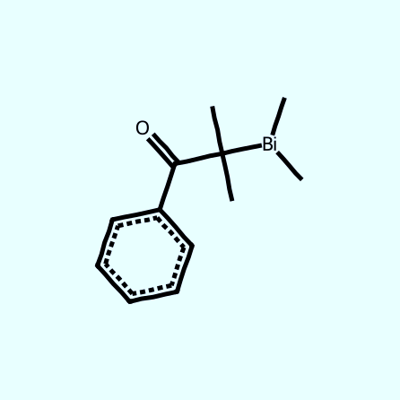 [CH3][Bi]([CH3])[C](C)(C)C(=O)c1ccccc1